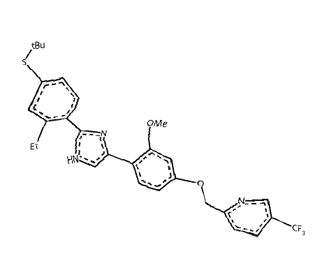 CCc1cc(SC(C)(C)C)ccc1-c1nc(-c2ccc(OCc3ccc(C(F)(F)F)cn3)cc2OC)c[nH]1